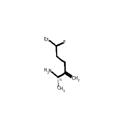 C=C(CCC(F)CC)[C@H](C)N